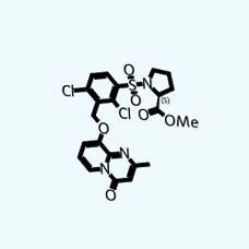 COC(=O)[C@@H]1CCCN1S(=O)(=O)c1ccc(Cl)c(COc2cccn3c(=O)cc(C)nc23)c1Cl